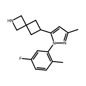 Cc1cc(C2CC3(CNC3)C2)n(-c2cc(F)ccc2C)n1